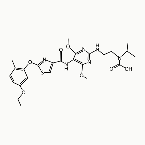 CCOc1ccc(C)c(Oc2nc(C(=O)Nc3c(OC)nc(NCCN(C(=O)O)C(C)C)nc3OC)cs2)c1